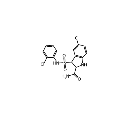 NC(=O)C1Nc2ccc(Cl)cc2C1S(=O)(=O)Nc1ccccc1Cl